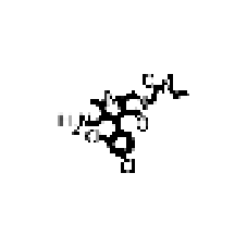 CCN(C)C(=O)CN1Cc2nc(C)c(CN)c(-c3ccc(Cl)cc3Cl)c2C1=O